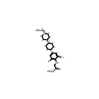 CCCCCC[C@H](F)COc1c(F)cc([C@H]2CC[C@H](C3CC[SiH](CCCCC)CC3)CC2)cc1F